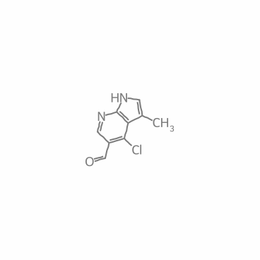 Cc1c[nH]c2ncc(C=O)c(Cl)c12